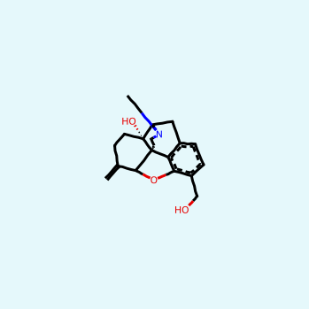 C=C1CC[C@@]2(O)C3Cc4ccc(CO)c5c4[C@@]2(CCN3C)C1O5